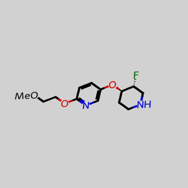 COCCOc1ccc(O[C@@H]2CCNC[C@H]2F)cn1